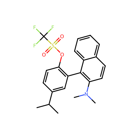 CC(C)c1ccc(OS(=O)(=O)C(F)(F)F)c(-c2c(N(C)C)ccc3ccccc23)c1